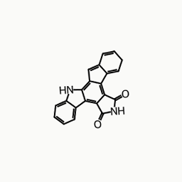 O=C1NC(=O)c2c1c1c(c3[nH]c4ccccc4c23)C=C2C=CCC=C21